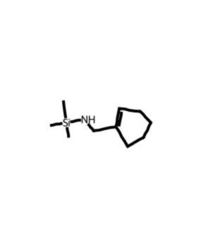 C[Si](C)(C)NCC1=CCCCC1